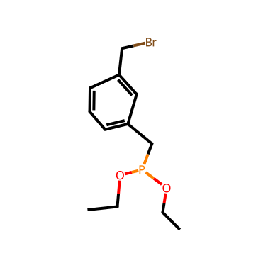 CCOP(Cc1cccc(CBr)c1)OCC